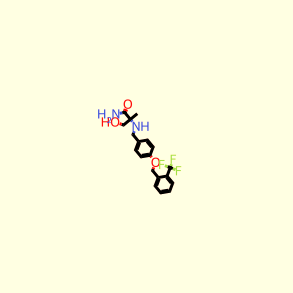 CC(CO)(NCc1ccc(OCc2ccccc2C(F)(F)F)cc1)C(N)=O